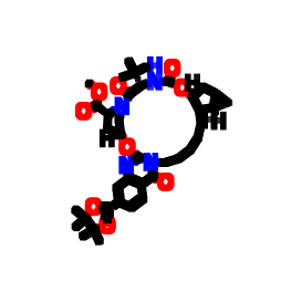 COC(=O)[C@@H]1C[C@@H]2CN1C(=O)[C@H](C(C)(C)C)NC(=O)O[C@@H]1CC3C[C@@H]3[C@H]1CCCCCn1c(nc3cc(B4OC(C)(C)C(C)(C)O4)ccc3c1=O)O2